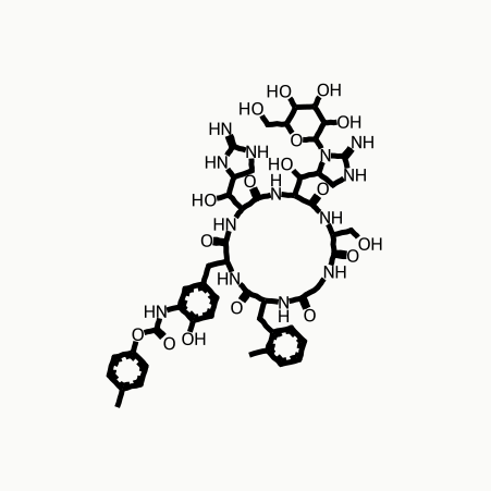 Cc1ccc(OC(=O)Nc2cc(CC3NC(=O)C(Cc4ccccc4C)NC(=O)CNC(=O)C(CO)NC(=O)C(C(O)C4CNC(=N)N4C4OC(CO)C(O)C(O)C4O)NC(=O)C(C(O)C4CNC(=N)N4)NC3=O)ccc2O)cc1